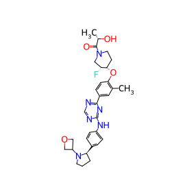 Cc1cc(-c2ncnc(Nc3ccc([C@H]4CCCN4C4COC4)cc3)n2)ccc1O[C@H]1CCN(C(=O)[C@H](C)O)C[C@H]1F